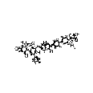 COC(=O)C1=C(CN2CCN3C(=O)N(c4ccc(-c5ccc(C(C)(C)C(=O)O)cc5)cn4)C[C@@H]3C2)NC(c2nccs2)=N[C@H]1c1ccc(Cl)cc1Cl